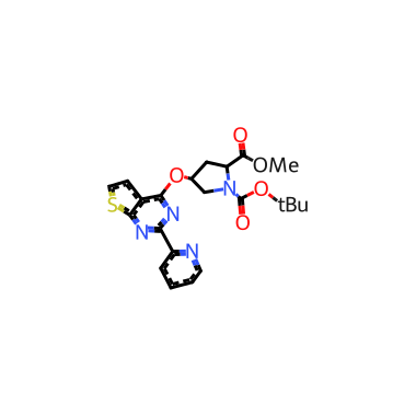 COC(=O)C1CC(Oc2nc(-c3ccccn3)nc3sccc23)CN1C(=O)OC(C)(C)C